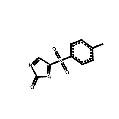 Cc1ccc(S(=O)(=O)C2=NC(=O)N=C2)cc1